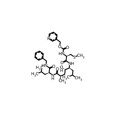 CSC[C@H](NC(=O)OCc1cccnc1)C(=O)N[C@@H](CC(C)C)[C@@H](O)C[C@@H](C)C(=O)N[C@@H](CC(C)C)C(=O)NCc1ccccc1